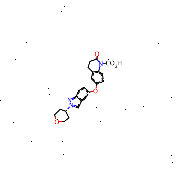 O=C(O)N1C(=O)CCc2cc(Oc3ccc4nn(C5CCOCC5)cc4c3)ccc21